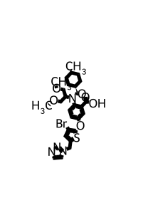 COCC(COC)N(c1ccc(Oc2sc(Cn3ccnn3)cc2Br)cc1C(=O)O)C(=O)[C@H]1CC[C@H](C)CC1